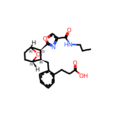 CCCNC(=O)c1coc([C@H]2[C@@H](Cc3ccccc3CCC(=O)O)[C@@H]3CC[C@H]2O3)n1